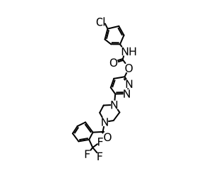 O=C(Nc1ccc(Cl)cc1)Oc1ccc(N2CCN(C(=O)c3ccccc3C(F)(F)F)CC2)nn1